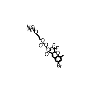 Cc1cc(Br)cc2c1OC(C(F)(F)F)C(C(=O)OCOC(=O)OCCCONO)=C2